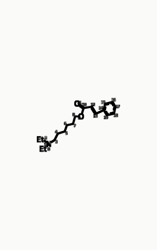 CCN(CC)CCCCCCOC(=O)C=Cc1ccccc1